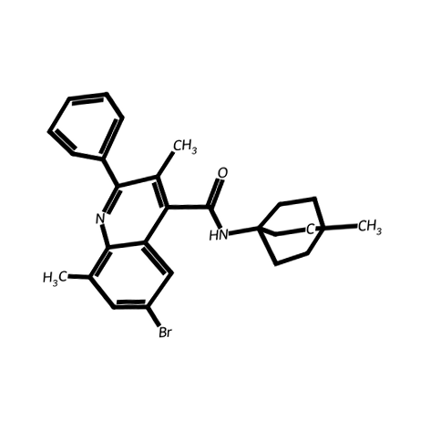 Cc1c(-c2ccccc2)nc2c(C)cc(Br)cc2c1C(=O)NC12CCC(C)(CC1)CC2